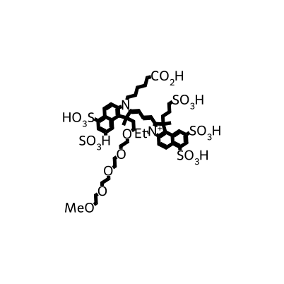 CC[N+]1=C(/C=C/C=C2/N(CCCCCC(=O)O)c3ccc4c(S(=O)(=O)O)cc(S(=O)(=O)O)cc4c3C2(C)CCOCCOCCOCCOCCOC)C(C)(CCCS(=O)(=O)O)c2c1ccc1c(S(=O)(=O)O)cc(S(=O)(=O)O)cc21